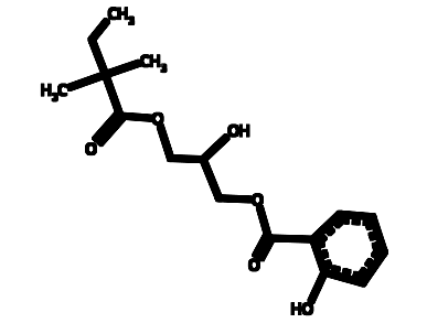 CCC(C)(C)C(=O)OCC(O)COC(=O)c1ccccc1O